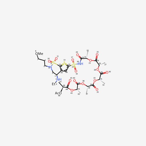 CCN[C@H]1CN(CCCOC)S(=O)(=O)c2sc(S(=O)(=O)NC(=O)[C@H](C)OC(=O)[C@H](C)OC(=O)[C@H](C)OC(=O)[C@H](C)OC(=O)[C@H](C)OC(=O)[C@H](C)OC(C)=O)cc21